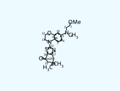 COCCN(C)c1ccc2c(c1)OCCN2c1nc2c(s1)C(=O)CC(C)(C)C2